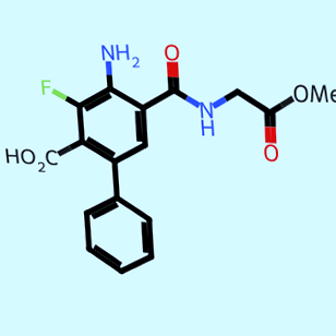 COC(=O)CNC(=O)c1cc(-c2ccccc2)c(C(=O)O)c(F)c1N